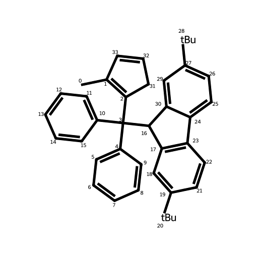 CC1=C(C(c2ccccc2)(c2ccccc2)C2c3cc(C(C)(C)C)ccc3-c3ccc(C(C)(C)C)cc32)CC=C1